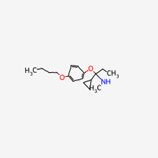 CCCCOc1ccc(OC(CC)(NC)C2CC2)cc1